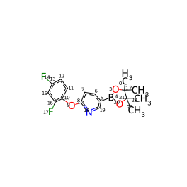 CC1(C)OB(c2ccc(Oc3ccc(F)cc3F)nc2)OC1(C)C